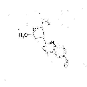 C[C@@H]1CC(c2ccc3cc(C=O)ccc3n2)C[C@@H](C)O1